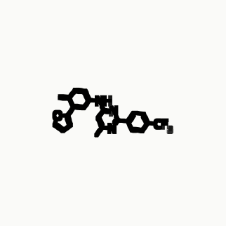 C=C1C=C=C(Nc2cc(C)nc(-c3ccc(C(F)(F)F)cc3)n2)C=C1c1ccco1